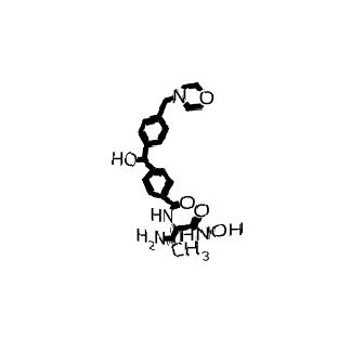 C[C@@H](N)[C@H](NC(=O)c1ccc(C(O)c2ccc(CN3CCOCC3)cc2)cc1)C(=O)NO